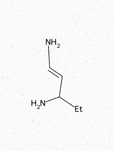 CCC(N)C=CN